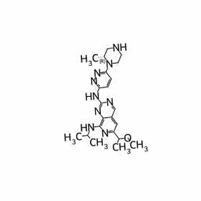 COC(C)c1cc2cnc(Nc3ccc(N4CCNC[C@H]4C)nn3)nc2c(NC(C)C)n1